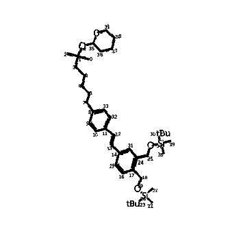 CC(C)(CCCCCc1ccc(C=Cc2ccc(CO[Si](C)(C)C(C)(C)C)c(CO[Si](C)(C)C(C)(C)C)c2)cc1)OC1CCCCO1